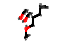 CC(=O)NCCC[O][Al+2].CC(C)[O-].CC(C)[O-]